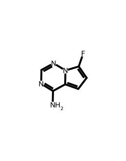 Nc1ncnn2c(F)ccc12